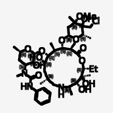 CC[C@H]1OC(=O)[C@H](C)[C@@H](O[C@H]2C[C@@](C)(OC)[C@](O)(CCl)[C@H](C)O2)[C@H](C)[C@@H](O[C@@H]2O[C@H](C)C[C@H](N(C)C(=O)Nc3ccccc3)[C@H]2O)[C@](C)(O)C[C@@H](C)CN[C@H](C)[C@@H](O)[C@]1(C)O